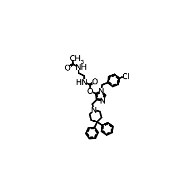 CC(=O)NCCNC(=O)Oc1c(CN2CCC(c3ccccc3)(c3ccccc3)CC2)ncn1Cc1ccc(Cl)cc1